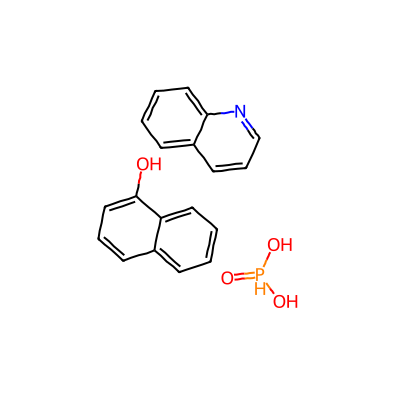 O=[PH](O)O.Oc1cccc2ccccc12.c1ccc2ncccc2c1